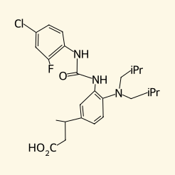 CC(C)CN(CC(C)C)c1ccc(C(C)CC(=O)O)cc1NC(=O)Nc1ccc(Cl)cc1F